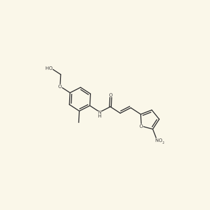 Cc1cc(OCO)ccc1NC(=O)C=Cc1ccc([N+](=O)[O-])o1